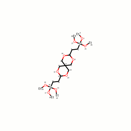 CCO[Si](CCC1OCC2(CO1)COC(CC[Si](OCC)(OCC)OCC)OC2)(OCC)OCC